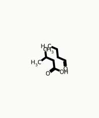 CC(C)CC(=O)O.CCCC=O